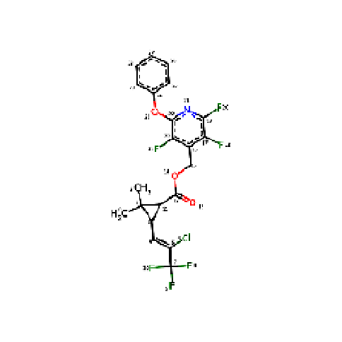 CC1(C)C(C=C(Cl)C(F)(F)F)C1C(=O)OCc1c(F)c(F)nc(Oc2ccccc2)c1F